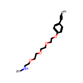 CCCC#Cc1ccc(OCCOCCOCCOCCNC(C)C)cc1